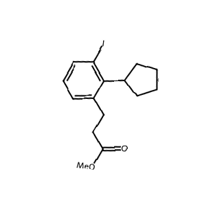 COC(=O)CCc1cccc(I)c1C1CCCC1